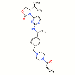 C=CC(=O)N1CCN(Cc2ccc(C(C)Nc3nccc(N4C(=O)OC[C@@H]4C(C)OC)n3)cc2)CC1